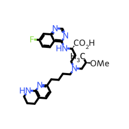 CO[C@H](C)CN(CCCCc1ccc2c(n1)NCCC2)CC[C@H](Nc1ncnc2cc(F)ccc12)C(=O)O